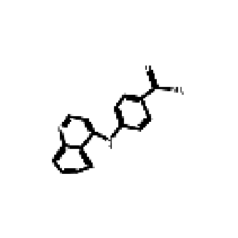 NC(=O)c1ccc(Nc2ccnc3ccccc23)cc1